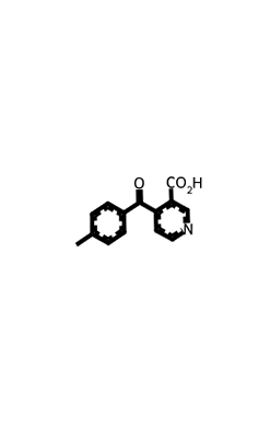 Cc1ccc(C(=O)c2ccncc2C(=O)O)cc1